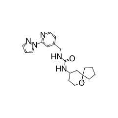 O=C(NCc1ccnc(-n2cccn2)c1)NC1CCOC2(CCCC2)C1